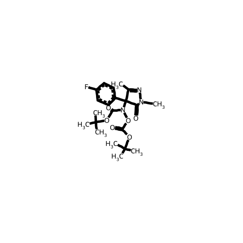 CC1=NN(C)C(=O)C1(c1ccc(F)cc1)N(OC(=O)OC(C)(C)C)C(=O)OC(C)(C)C